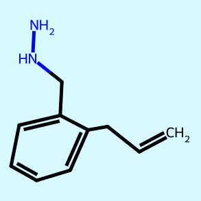 C=CCc1ccccc1CNN